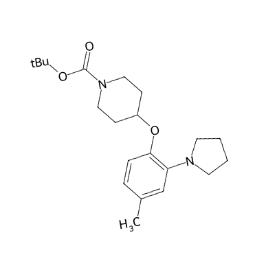 Cc1ccc(OC2CCN(C(=O)OC(C)(C)C)CC2)c(N2CCCC2)c1